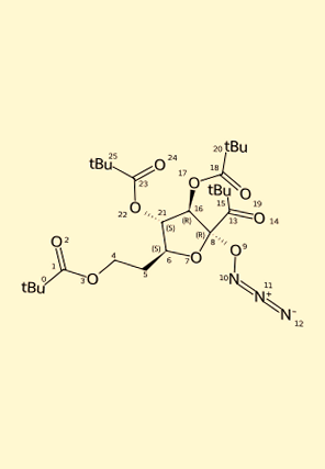 CC(C)(C)C(=O)OCC[C@@H]1O[C@](ON=[N+]=[N-])(C(=O)C(C)(C)C)[C@H](OC(=O)C(C)(C)C)[C@H]1OC(=O)C(C)(C)C